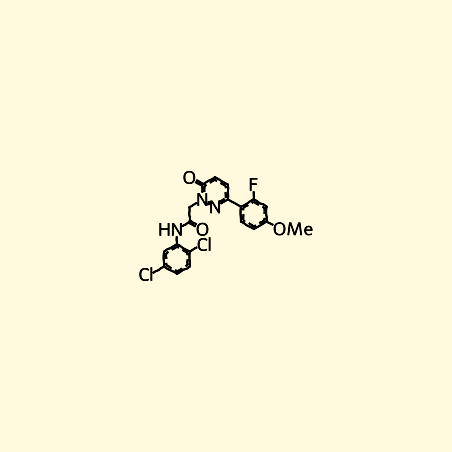 COc1ccc(-c2ccc(=O)n(CC(=O)Nc3cc(Cl)ccc3Cl)n2)c(F)c1